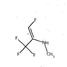 CN/C(=C\F)C(F)(F)F